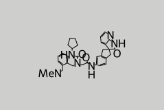 CNCc1ccccc1CN(CC(=O)Nc1ccc2c(c1)CC1(C2)C(=O)Nc2ncccc21)C(=O)NC1CCCC1